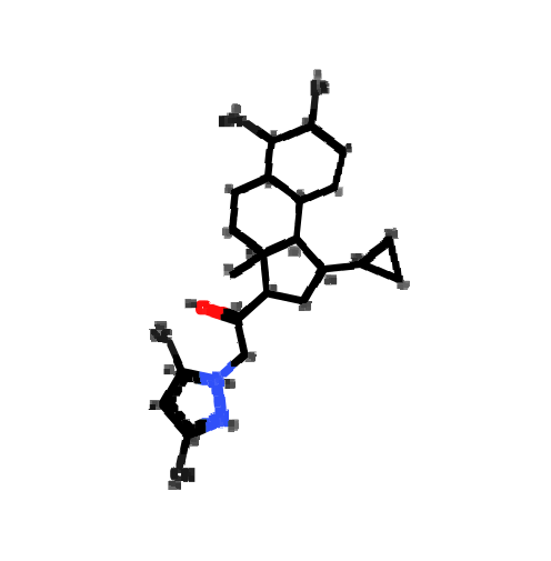 CCCC1C(CC)CCC2C1CCC1(C)C(C(=O)Cn3nc(C#N)cc3C#N)CC(C3CC3)C21